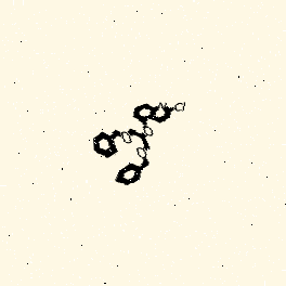 Clc1ccc2c(OC(COCc3ccccc3)COCc3ccccc3)cccc2n1